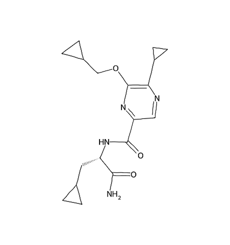 NC(=O)[C@H](CC1CC1)NC(=O)c1cnc(C2CC2)c(OCC2CC2)n1